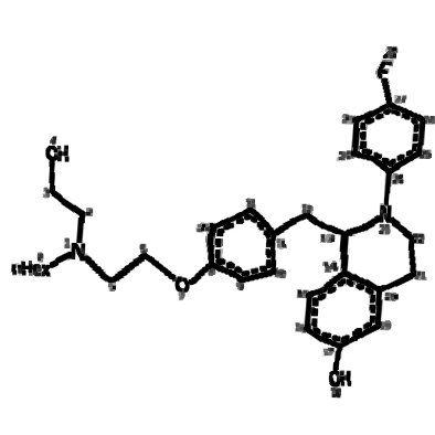 CCCCCCN(CCO)CCOc1ccc(CC2c3ccc(O)cc3CCN2c2ccc(F)cc2)cc1